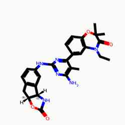 CCN1C(=O)C(C)(C)Oc2ccc(-c3nc(Nc4ccc5c(c4)[C@@H]4NC(=O)O[C@@H]4C5)nc(N)c3C)cc21